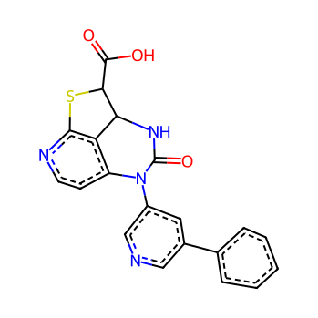 O=C(O)C1Sc2nccc3c2C1NC(=O)N3c1cncc(-c2ccccc2)c1